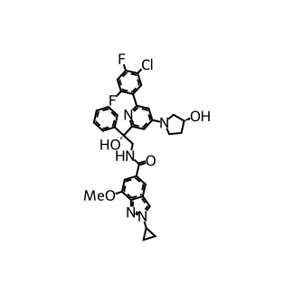 COc1cc(C(=O)NC[C@@](O)(c2ccccc2)c2cc(N3CC[C@H](O)C3)cc(-c3cc(Cl)c(F)cc3F)n2)cc2cn(C3CC3)nc12